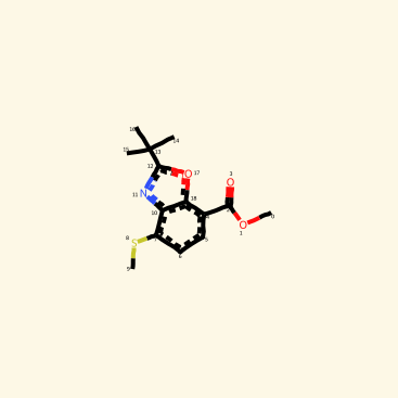 COC(=O)c1ccc(SC)c2nc(C(C)(C)C)oc12